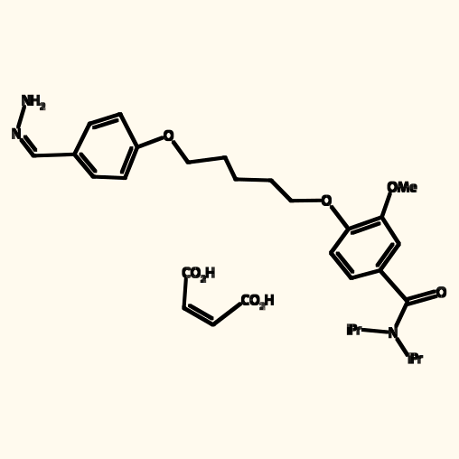 COc1cc(C(=O)N(C(C)C)C(C)C)ccc1OCCCCCOc1ccc(/C=N\N)cc1.O=C(O)/C=C\C(=O)O